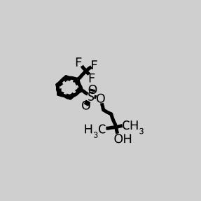 CC(C)(O)CCOS(=O)(=O)c1ccccc1C(F)(F)F